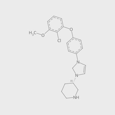 COc1cccc(Oc2ccc(N3C=CN([C@H]4CCCNC4)C3)cc2)c1Cl